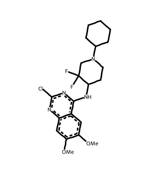 COc1cc2nc(Cl)nc(NC3CCN(C4CCCCC4)CC3(F)F)c2cc1OC